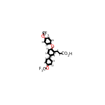 O=C(O)CCc1cc(-c2ccc(OC(F)(F)F)cc2)ccc1Oc1ccc(OC(F)(F)F)cc1